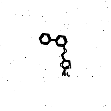 NC1=NCC(COc2cccc(-c3ccccc3)c2)O1